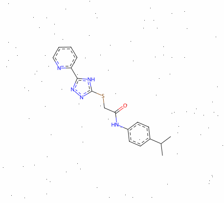 CC(C)c1ccc(NC(=O)CSc2nnc(-c3ccccn3)[nH]2)cc1